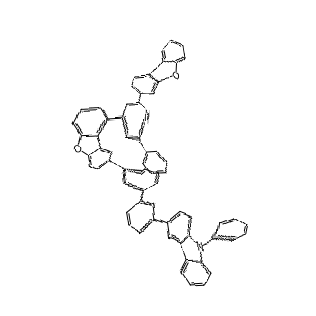 c1ccc(-c2cc(-c3cccc4oc5ccc(-c6cccc(-c7cccc(-c8ccc9c(c8)c8ccccc8n9-c8ccccc8)c7)c6)cc5c34)cc(-c3ccc4c(c3)oc3ccccc34)n2)cc1